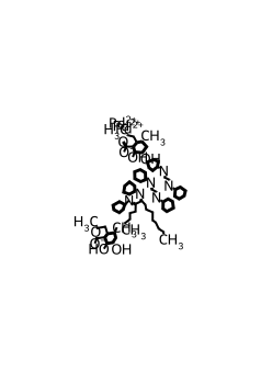 C(C=Nc1ccccc1)=Nc1ccccc1.C(C=Nc1ccccc1)=Nc1ccccc1.CCCCCCCCC(=Nc1ccccc1)C(CCCCC)=Nc1ccccc1.CCCc1c(C)cc(O)c(O)c1C(=O)[O-].CCCc1c(C)cc(O)c(O)c1C(=O)[O-].[Pd+2].[Pd+2].[Pd+2]